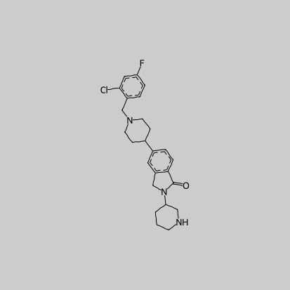 O=C1c2ccc(C3CCN(Cc4ccc(F)cc4Cl)CC3)cc2CN1C1CCCNC1